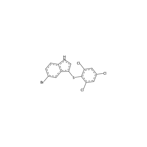 Clc1cc(Cl)c(Sc2c[nH]c3ccc(Br)cc23)c(Cl)c1